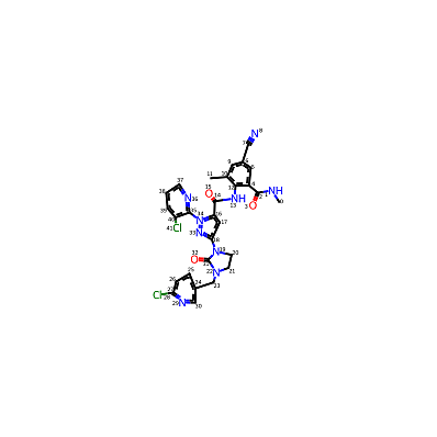 CNC(=O)c1cc(C#N)cc(C)c1NC(=O)c1cc(N2CCN(Cc3ccc(Cl)nc3)C2=O)nn1-c1ncccc1Cl